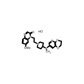 COc1ccc2ncc(=O)n(CCN3CCC(N(C)c4cnc5c(c4)OCCO5)CC3)c2c1.Cl